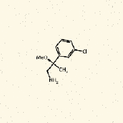 CO[C@@](C)(CN)c1cccc(Cl)c1